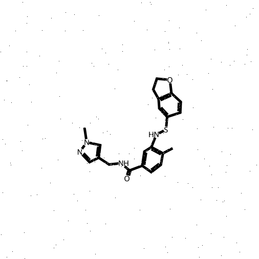 Cc1ccc(C(=O)NCc2cnn(C)c2)cc1NSc1ccc2c(c1)CCO2